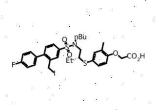 CCCCN(C[C@@H](CC)Sc1ccc(OCC(=O)O)c(C)c1)S(=O)(=O)c1ccc(-c2ccc(F)cc2)c(CI)c1